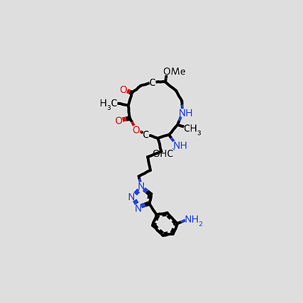 COC1CCNC(C)C(NC=O)C(CCCCn2cc(-c3cccc(N)c3)nn2)COC(=O)C(C)C(=O)CC1